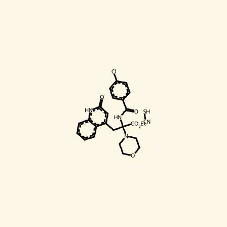 CCOC(=O)C(Cc1cc(=O)[nH]c2ccccc12)(NC(=O)c1ccc(Cl)cc1)N1CCOCC1.N#CS